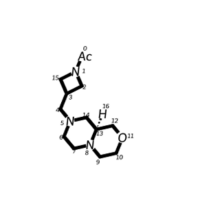 CC(=O)N1CC(CN2CCN3CCOC[C@@H]3C2)C1